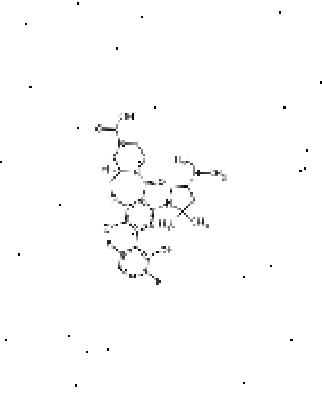 CN(C)[C@H]1CN(c2nc(-c3c(F)ccc(F)c3O)c(Cl)c3c2C(=O)N2CCN(C(=O)O)C[C@@H]2CO3)C(C)(C)C1